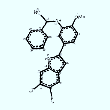 COc1ccc(-c2cc3cc(F)c(F)cc3[nH]2)cc1NC(C#N)c1ccccc1